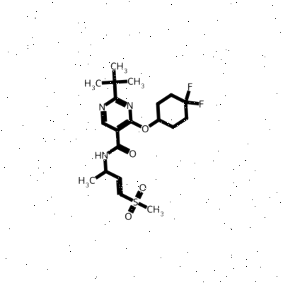 CC(C=CS(C)(=O)=O)NC(=O)c1cnc(C(C)(C)C)nc1OC1CCC(F)(F)CC1